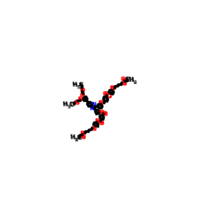 C=CC(=O)OCCCCCCOc1ccc(OC(=O)C2CCC(COc3cccc(-c4nc5cc(-c6ccc(OCCOCCC)c(OCCOCCC)c6)ccc5nc4-c4cccc(OC(=O)C5CCC(C(=O)Oc6ccc(OCCCCCCOC(=O)C=C)cc6)CC5)c4)c3)CC2)cc1